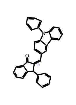 O=C1/C(=C\c2ccc3c(c2)c2ccccc2n3-c2ccccc2)C(c2ccccc2)c2ccccc21